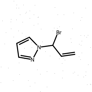 C=CC(Br)n1cccn1